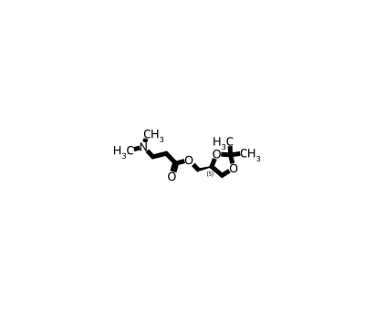 CN(C)CCC(=O)OC[C@@H]1COC(C)(C)O1